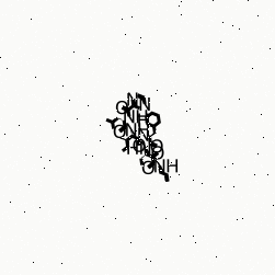 C=CCNC(=O)C(=O)[C@H](CC)NC(=O)[C@H](CC1CCCCC1)NC(=O)[C@@H](NC(=O)[C@H](CC(C)C)NC(=O)c1cnccn1)[C@H](C)CC